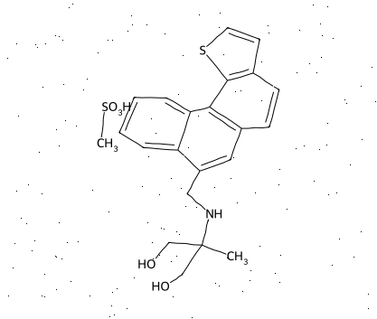 CC(CO)(CO)NCc1cc2ccc3ccsc3c2c2ccccc12.CS(=O)(=O)O